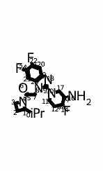 CC(C)C1CCN1C(=O)Cn1c(N2CC[C@@H](F)[C@H](N)C2)nc2cc(F)c(F)cc21